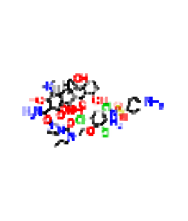 CCCN(CCOc1c(Cl)cc(Cl)cc1Cl)C(=O)n1ccnc1.CN(C)[C@@H]1C(O)=C(C(N)=O)C(=O)[C@@]2(O)C(O)=C3C(=O)c4c(O)cccc4[C@@](C)(O)[C@H]3C[C@@H]12.Nc1ccc(S(N)(=O)=O)cc1